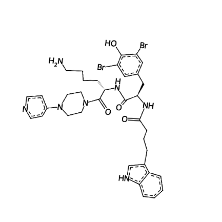 NCCCC[C@H](NC(=O)[C@@H](Cc1cc(Br)c(O)c(Br)c1)NC(=O)CCCc1c[nH]c2ccccc12)C(=O)N1CCN(c2ccncc2)CC1